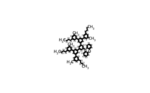 CCCCc1cc(C)cc(-c2cc(-c3cc(C)cc(CCCC)c3)cc(-c3cc(-c4cc(-c5cc(C)cc(CCCC)c5)cc(-c5cc(C)cc(CCCC)c5)c4)cc(N4c5ccccc5Oc5ccccc54)c3)c2)c1